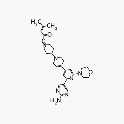 CC(C)=CC(=O)CN1CCC(N2CC=C(c3cc(-c4cnc(N)nc4)nc(N4CCOCC4)c3)CC2)CC1